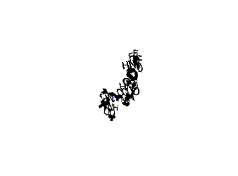 CO[C@H]([C@@H](C)C(=O)NS(=O)(=O)c1ccc(NC(=O)C(F)(F)F)cc1)[C@@H]1CCCN1C(=O)/C(C)=C/[C@H](C(C)C)N(C)C(=O)[C@@H](NC(=O)OC(C)(C)C)C(C)(C)C